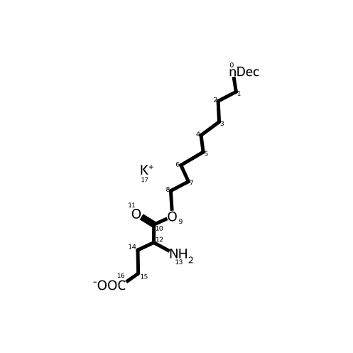 CCCCCCCCCCCCCCCCCCOC(=O)C(N)CCC(=O)[O-].[K+]